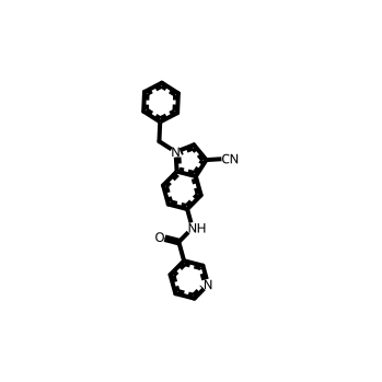 N#Cc1cn(Cc2ccccc2)c2ccc(NC(=O)c3cccnc3)cc12